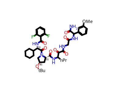 CCCC(NC(=O)[C@@H]1C[C@@H](OC(C)(C)C)CN1C(=O)[C@@H](NC(=O)c1c(F)cccc1F)C1CCCCC1)C(=O)C(=O)NCC(=O)NC(C(N)=O)c1cccc(OC)c1